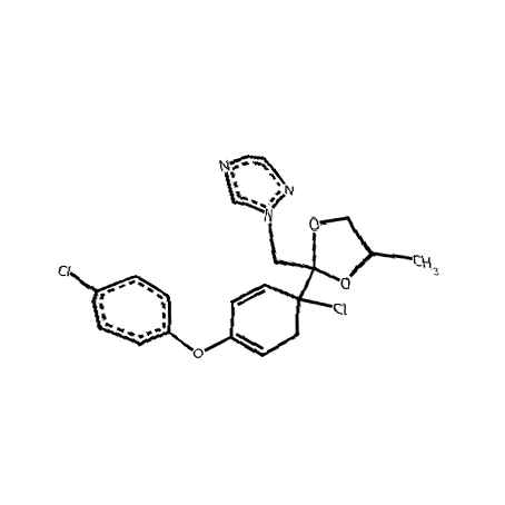 CC1COC(Cn2cncn2)(C2(Cl)C=CC(Oc3ccc(Cl)cc3)=CC2)O1